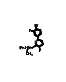 CC(C)[C@@H](C)NCc1nc(-c2ccc(Br)c(F)c2)ccc1F